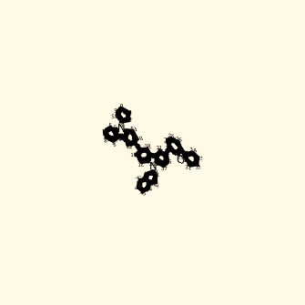 c1ccc(-n2c3ccccc3c3cc(-c4ccc5c(c4)c4cc(-c6cccc7c6oc6ccccc67)ccc4n5-c4ccc5ccccc5c4)ccc32)cc1